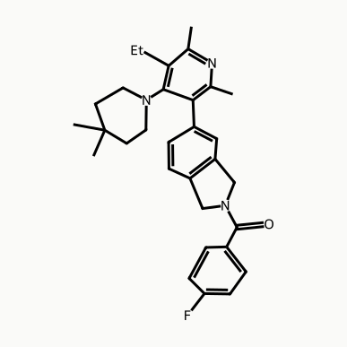 CCc1c(C)nc(C)c(-c2ccc3c(c2)CN(C(=O)c2ccc(F)cc2)C3)c1N1CCC(C)(C)CC1